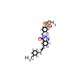 Cc1cccc(CC#Cc2ccc3ncn(Cc4ccc(S(C)(=O)=O)cc4)c(=O)c3c2)c1